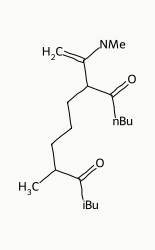 C=C(NC)C(CCCC(C)C(=O)C(C)CC)C(=O)CCCC